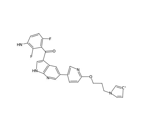 [NH-]c1ccc(F)c(C(=O)c2c[nH]c3ncc(-c4ccc(OCCCN5C=[C+]C=C5)nc4)cc23)c1F